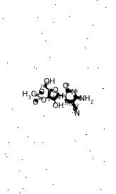 CS(=O)(=O)O[C@@H]1[C@@H](O)[C@H](n2cc(C#N)c(N)nc2=O)O[C@@H]1CO